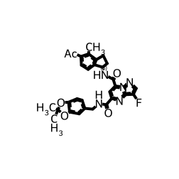 CC(=O)c1ccc2c(c1C)CC[C@@H]2NC(=O)c1cc(C(=O)NCc2ccc3c(c2)OC(C)(C)O3)nc2c(F)cnn12